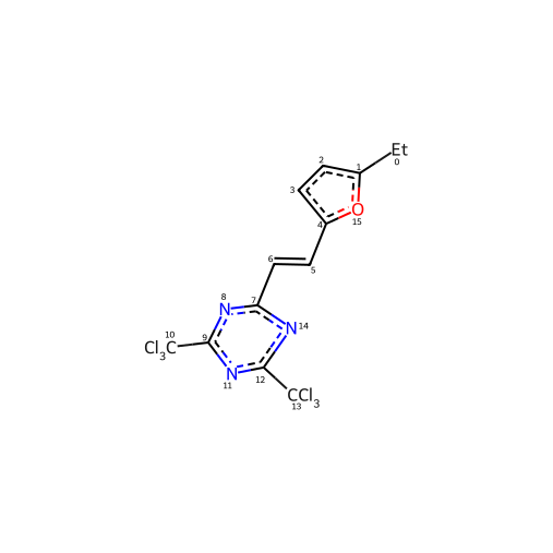 CCc1ccc(/C=C/c2nc(C(Cl)(Cl)Cl)nc(C(Cl)(Cl)Cl)n2)o1